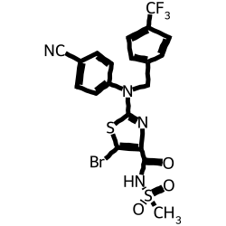 CS(=O)(=O)NC(=O)c1nc(N(Cc2ccc(C(F)(F)F)cc2)c2ccc(C#N)cc2)sc1Br